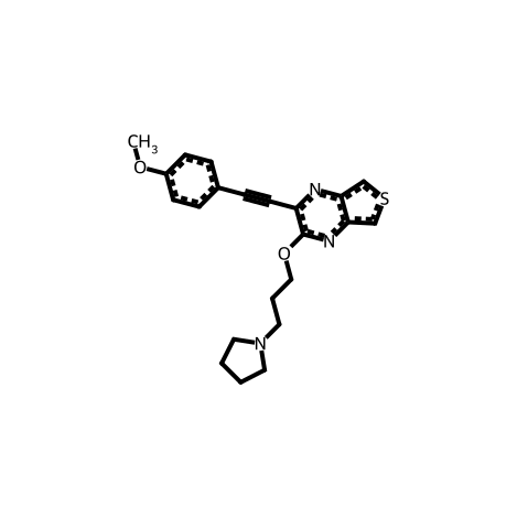 COc1ccc(C#Cc2nc3cscc3nc2OCCCN2CCCC2)cc1